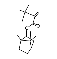 C=C(C(=O)OC1CC2CCC1(C)C2(C)C)C(C)(C)C